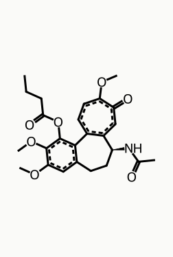 CCCC(=O)Oc1c(OC)c(OC)cc2c1-c1ccc(OC)c(=O)cc1[C@@H](NC(C)=O)CC2